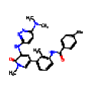 Cc1c(NC(=O)c2ccc(C(C)(C)C)cc2)cccc1-c1cc(Nc2ccc(N(C)C)nn2)c(=O)n(C)c1